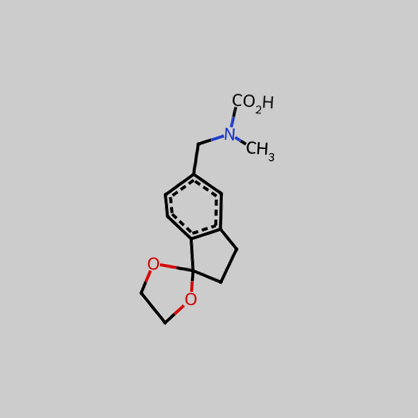 CN(Cc1ccc2c(c1)CCC21OCCO1)C(=O)O